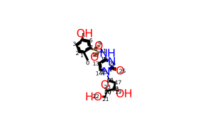 Cc1ccc(O)cc1S(=O)(=O)Nc1ccn([C@H]2C[C@H](O)[C@@H](CO)O2)c(=O)n1